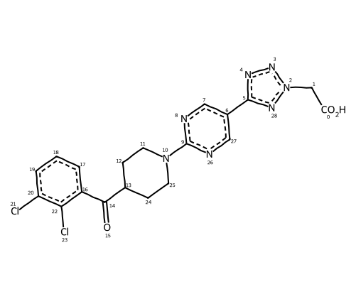 O=C(O)Cn1nnc(-c2cnc(N3CCC(C(=O)c4cccc(Cl)c4Cl)CC3)nc2)n1